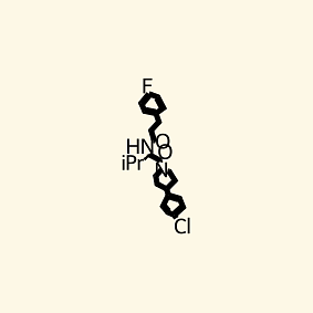 CC(C)[C@@H](NC(=O)CCc1ccc(F)cc1)C(=O)N1CCC(c2ccc(Cl)cc2)CC1